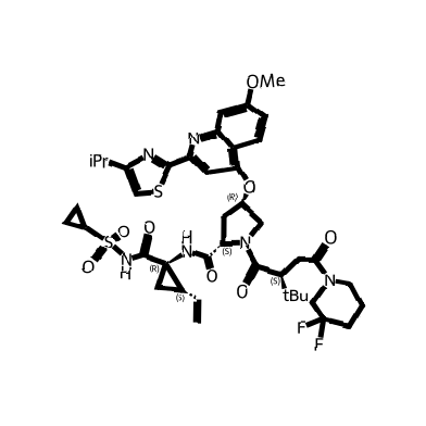 C=C[C@@H]1C[C@]1(NC(=O)[C@@H]1C[C@@H](Oc2cc(-c3nc(C(C)C)cs3)nc3cc(OC)ccc23)CN1C(=O)[C@@H](CC(=O)N1CCCC(F)(F)C1)C(C)(C)C)C(=O)NS(=O)(=O)C1CC1